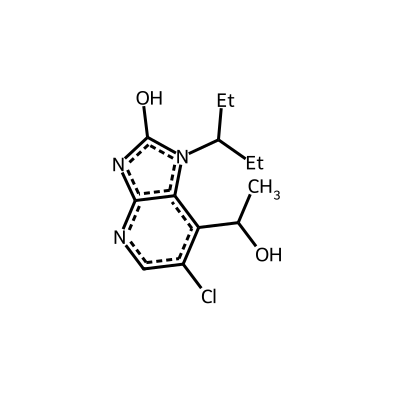 CCC(CC)n1c(O)nc2ncc(Cl)c(C(C)O)c21